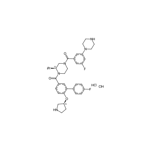 CC(C)[C@H]1CN(C(=O)c2cc(F)cc(N3CCNCC3)c2)CCN1C(=O)c1ccc(O[C@H]2CCNC2)c(-c2ccc(F)cc2)c1.Cl.Cl